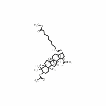 C=C(C)[C@@H]1CC[C@]2(C(=O)NCCCCCCCC(=O)OC)CC[C@]3(C)[C@H](CCC4[C@@]5(C)CCC(OC(C)=O)C(C)(C)[C@@H]5CC[C@]43C)[C@@H]12